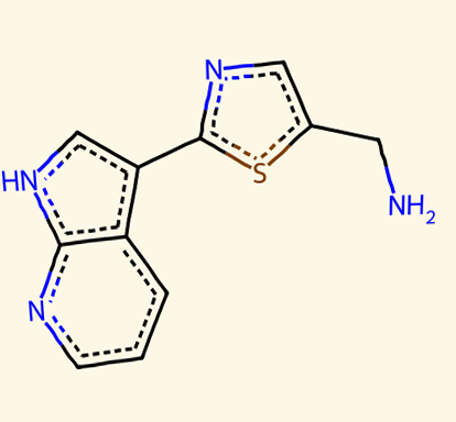 NCc1cnc(-c2c[nH]c3ncccc23)s1